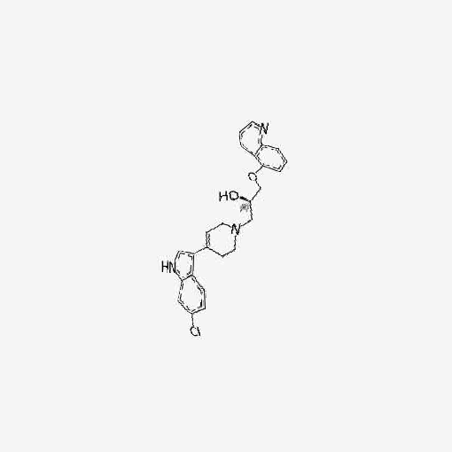 O[C@@H](COc1cccc2ncccc12)CN1CC=C(c2c[nH]c3cc(Cl)ccc23)CC1